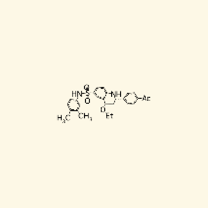 CCO[C@H]1C[C@@H](c2ccc(C(C)=O)cc2)Nc2ccc(S(=O)(=O)Nc3ccc(C)c(C)c3)cc21